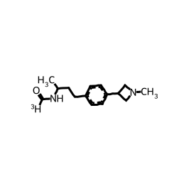 [3H]C(=O)NC(C)CCc1ccc(C2CN(C)C2)cc1